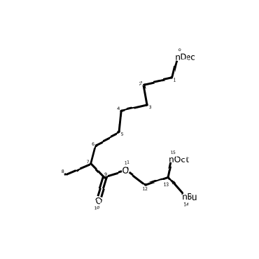 CCCCCCCCCCCCCCCCC(C)C(=O)OCC(CCCC)CCCCCCCC